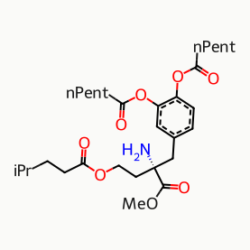 CCCCCC(=O)Oc1ccc(C[C@](N)(CCOC(=O)CCC(C)C)C(=O)OC)cc1OC(=O)CCCCC